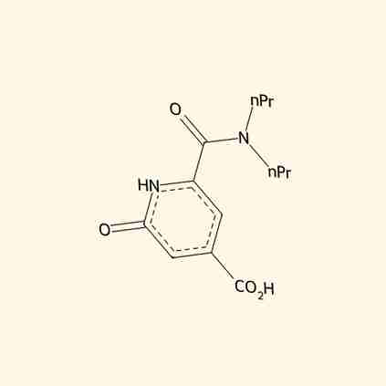 CCCN(CCC)C(=O)c1cc(C(=O)O)cc(=O)[nH]1